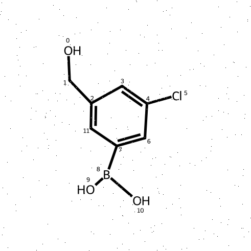 OCc1cc(Cl)cc(B(O)O)c1